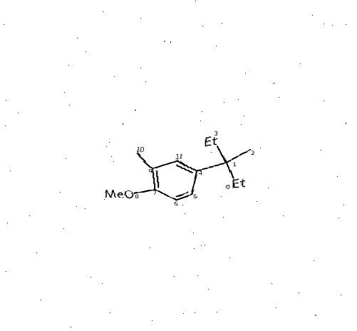 CCC(C)(CC)c1ccc(OC)c(C)c1